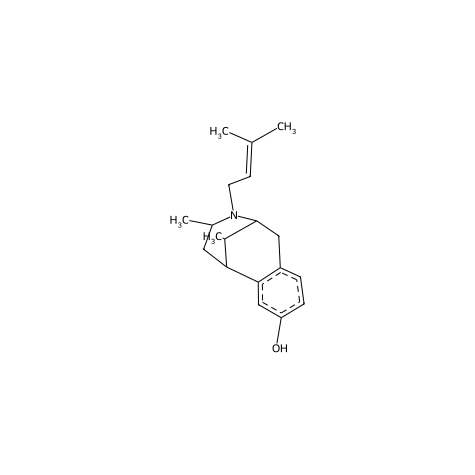 CC(C)=CCN1C(C)CC2c3cc(O)ccc3CC1C2C